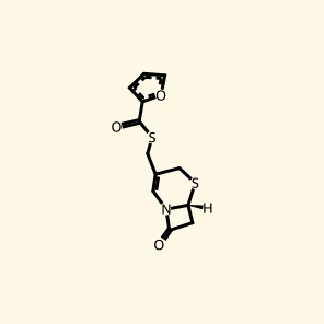 O=C(SCC1=CN2C(=O)C[C@H]2SC1)c1ccco1